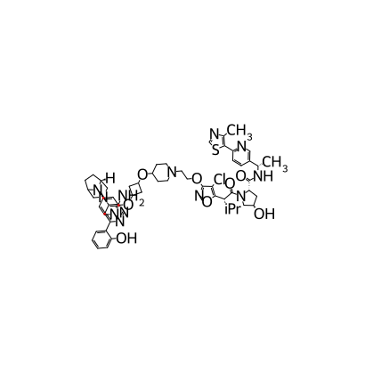 Cc1ncsc1-c1ccc([C@H](C)NC(=O)[C@@H]2C[C@@H](O)CN2C(=O)[C@@H](c2onc(OCCN3CCC(OC4CC(Oc5cc(N6C7CC[C@@H]6CN(c6cc(-c8ccccc8O)nnc6N)C7)ccn5)C4)CC3)c2Cl)C(C)C)cn1